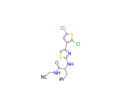 CC(C)CC(Nc1nc(-c2cc(Cl)sc2Cl)cs1)C(=O)NCC#N